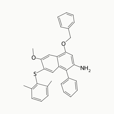 COc1cc2c(OCc3ccccc3)cc(N)c(-c3ccccc3)c2cc1Sc1c(C)cccc1C